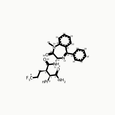 CCC[C@H](C(N)=O)[C@@H](CCC(F)(F)F)C(=O)N[C@H]1N=C(c2ccccc2)c2ccccc2N(C)C1=O